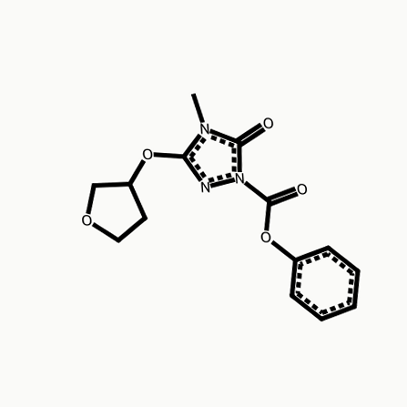 Cn1c(OC2CCOC2)nn(C(=O)Oc2ccccc2)c1=O